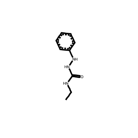 CCNC(=O)NNc1ccccc1